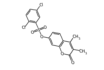 Cc1c(C)c2ccc(OS(=O)(=O)c3cc(Cl)ccc3Cl)cc2oc1=O